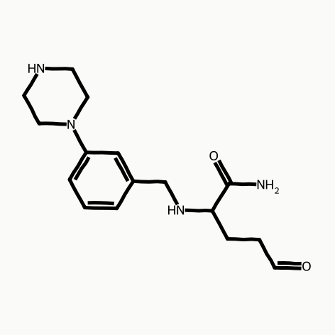 NC(=O)C(CCC=O)NCc1cccc(N2CCNCC2)c1